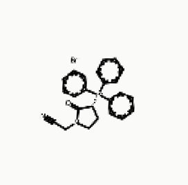 N#CCN1CC[C@@H]([P+](c2ccccc2)(c2ccccc2)c2ccccc2)C1=O.[Br-]